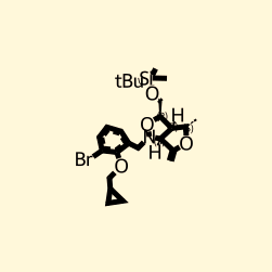 C=C1O[C@@H](C)[C@@H]2[C@H](CO[Si](C)(C)C(C)(C)C)ON(Cc3cccc(Br)c3OCC3CC3)[C@H]12